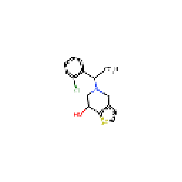 O=C(O)C(c1ccccc1Cl)N1Cc2ccsc2C(O)C1